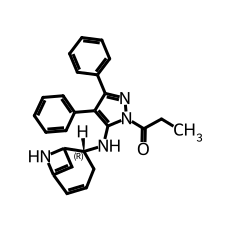 CCC(=O)n1nc(-c2ccccc2)c(-c2ccccc2)c1N[C@@H]1CC=CC2=CC1N2